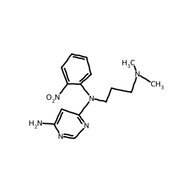 CN(C)CCCN(c1cc(N)ncn1)c1ccccc1[N+](=O)[O-]